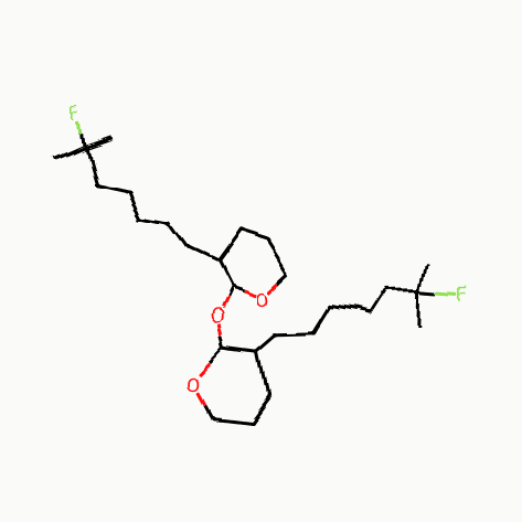 CC(C)(F)CCCCCC1CCCOC1OC1OCCCC1CCCCCC(C)(C)F